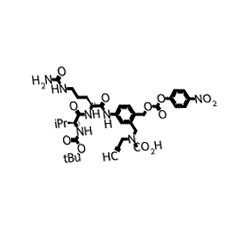 C#CCN(Cc1cc(NC(=O)[C@H](CCCNC(N)=O)NC(=O)[C@@H](NC(=O)OC(C)(C)C)C(C)C)ccc1COC(=O)Oc1ccc([N+](=O)[O-])cc1)C(=O)O